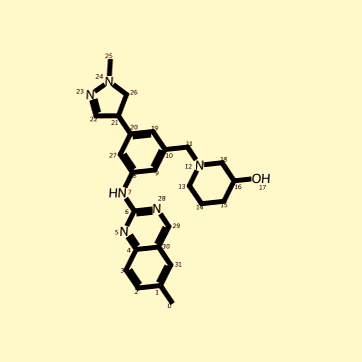 Cc1ccc2nc(Nc3cc(CN4CCCC(O)C4)cc(C4C=NN(C)C4)c3)ncc2c1